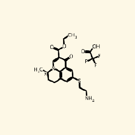 CCOC(=O)c1cn2c3c(cc(SCCN)cc3c1=O)CC[C@H]2C.O=C(O)C(F)(F)F